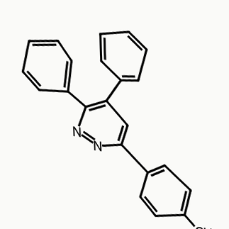 Cc1ccc(-c2cc(-c3ccccc3)c(-c3ccccc3)nn2)cc1